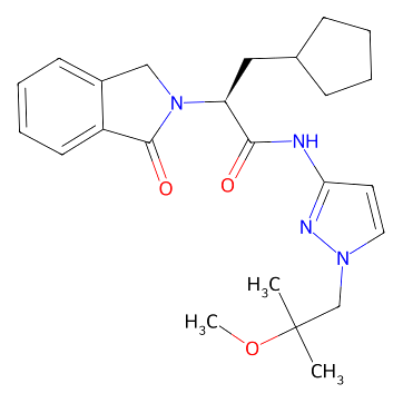 COC(C)(C)Cn1ccc(NC(=O)[C@H](CC2CCCC2)N2Cc3ccccc3C2=O)n1